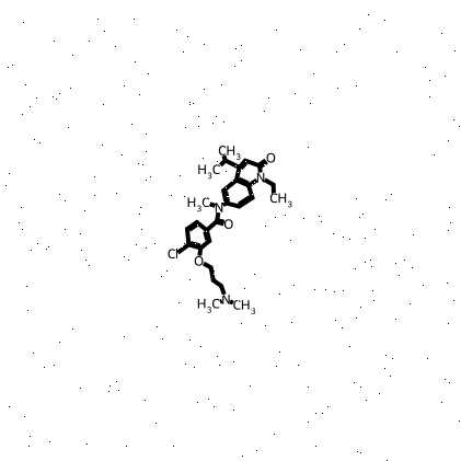 CCn1c(=O)cc(C(C)C)c2cc(N(C)C(=O)c3ccc(Cl)c(OCCCN(C)C)c3)ccc21